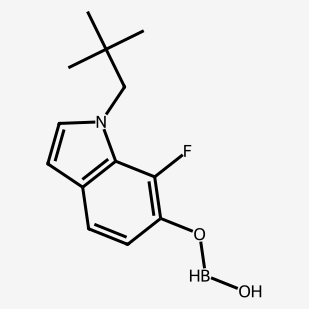 CC(C)(C)Cn1ccc2ccc(OBO)c(F)c21